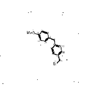 COc1ccc(Cc2ccc(CBr)cn2)cc1